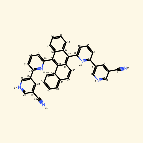 N#Cc1cncc(-c2cccc(-c3c4ccccc4c(-c4cccc(-c5cncc(C#N)c5)n4)c4c3ccc3ccccc34)n2)c1